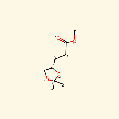 COC(=O)CC[C@H]1COC(C)(C)O1